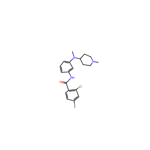 CN1CCC(N(C)c2cccc(NC(=O)c3ccc(F)cc3Cl)c2)CC1